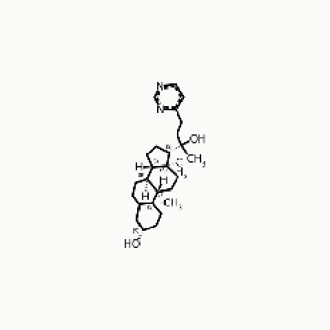 CC(O)(CCc1ccncn1)[C@H]1CC[C@H]2[C@@H]3CCC4C[C@@H](O)CC[C@]4(C)[C@H]3CC[C@]12C